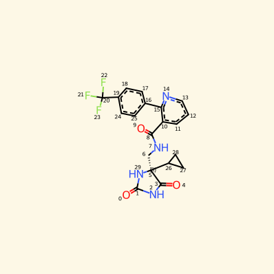 O=C1NC(=O)[C@](CNC(=O)c2cccnc2-c2ccc(C(F)(F)F)cc2)(C2CC2)N1